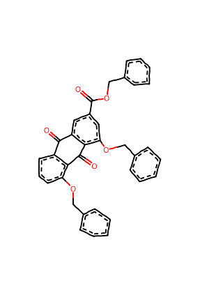 O=C(OCc1ccccc1)c1cc(OCc2ccccc2)c2c(c1)C(=O)c1cccc(OCc3ccccc3)c1C2=O